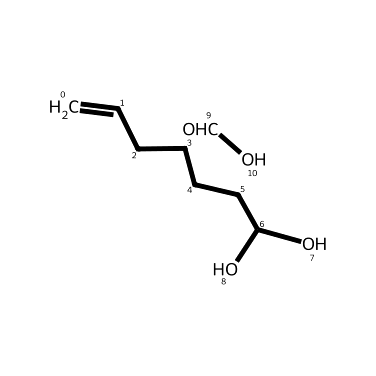 C=CCCCCC(O)O.O=CO